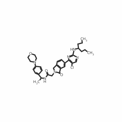 CCCC(CCC)Nc1ncc(Cl)c(-c2ccc3c(c2)C(=O)N(CC(=O)NC(C)c2ccc(N4CCOCC4)cc2)C3)n1